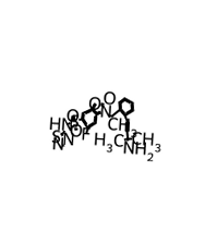 C[C@H](c1ccccc1C#CC(C)(C)N)n1c(=O)oc2cc(S(=O)(=O)Nc3ncns3)c(F)cc21